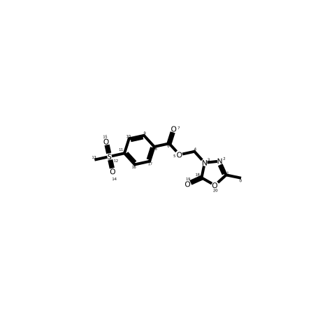 Cc1nn(COC(=O)c2ccc(S(C)(=O)=O)cc2)c(=O)o1